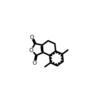 Cc1ccc(C)c2c1CCC1=C2C(=O)OC1=O